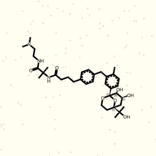 Cc1ccc([C@@]23OCC[C@@](C(C)(C)O)(C[C@H](O)[C@H]2O)O3)cc1Cc1ccc(CCCC(=O)NC(C)(C)C(=O)NCCN(C)C)cc1